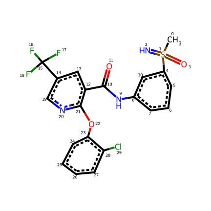 CS(=N)(=O)c1cccc(NC(=O)c2cc(C(F)(F)F)cnc2Oc2ccccc2Cl)c1